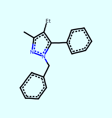 CCc1c(C)nn(Cc2ccccc2)c1-c1ccccc1